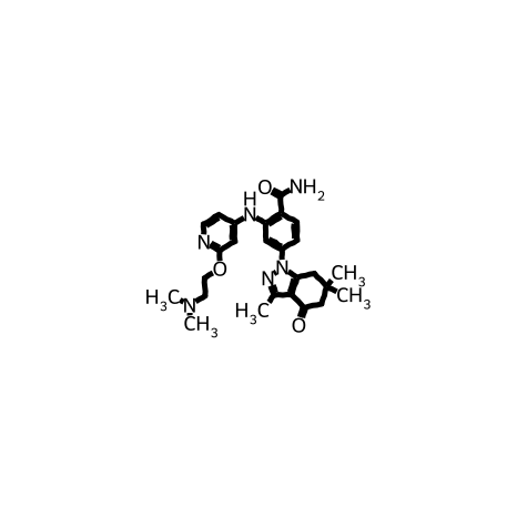 Cc1nn(-c2ccc(C(N)=O)c(Nc3ccnc(OCCN(C)C)c3)c2)c2c1C(=O)CC(C)(C)C2